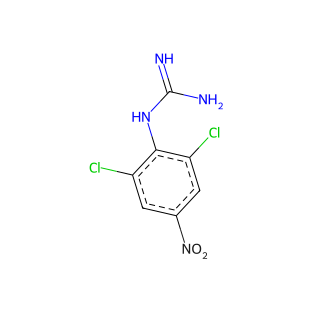 N=C(N)Nc1c(Cl)cc([N+](=O)[O-])cc1Cl